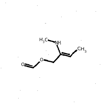 CC=C(COC=O)NC